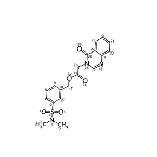 CN(C)S(=O)(=O)c1cccc(COC(=O)Cn2cnc3ccccc3c2=O)c1